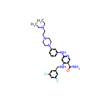 CCN(CC)CCN1CCN(c2cccc(Nc3cc(NCc4cc(F)cc(F)c4)c(C(N)=O)cn3)c2)CC1